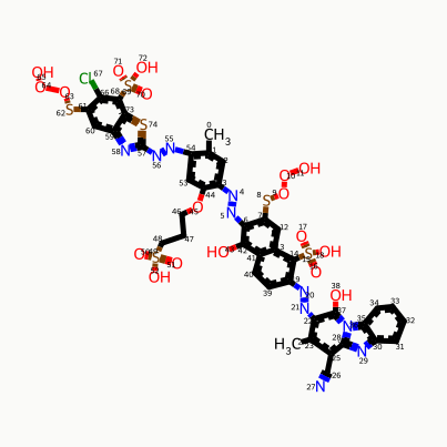 Cc1cc(N=Nc2c(SOOO)cc3c(S(=O)(=O)O)c(N=Nc4c(C)c(C#N)c5nc6ccccc6n5c4O)ccc3c2O)c(OCCCS(=O)(=O)O)cc1N=Nc1nc2cc(SOOO)c(Cl)c(S(=O)(=O)O)c2s1